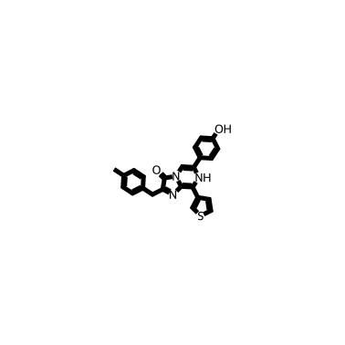 Cc1ccc(Cc2nc3c(-c4ccsc4)[nH]c(-c4ccc(O)cc4)cn-3c2=O)cc1